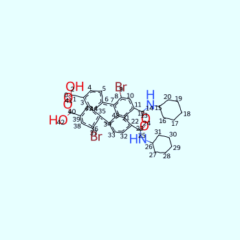 O=C(O)c1ccc2c3c(Br)cc(C(=O)NC4CCCCC4)c4c(C(=O)NC5CCCCC5)ccc(c5c(Br)cc(C(=O)O)c1c25)c43